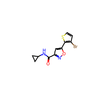 O=C(NC1CC1)c1cc(-c2sccc2Br)on1